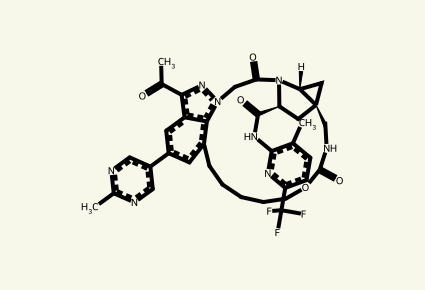 CC(=O)c1nn2c3c(cc(-c4cnc(C)nc4)cc13)CCCCCOC(=O)NC[C@@]13C[C@@H](C(=O)Nc4nc(C(F)(F)F)ccc4C)N(C(=O)C2)[C@@H]1C3